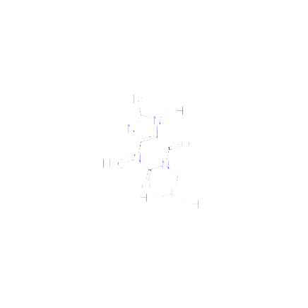 Cn1c(Br)nc2c1c(=O)n(CP(C)C)c(=O)n2C